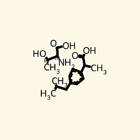 CC(C)Cc1ccc(C(C)C(=O)O)cc1.C[C@@H](O)[C@H](N)C(=O)O